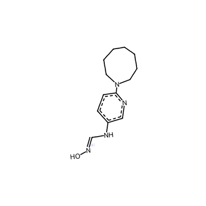 O/N=C/Nc1ccc(N2CCCCCCC2)nc1